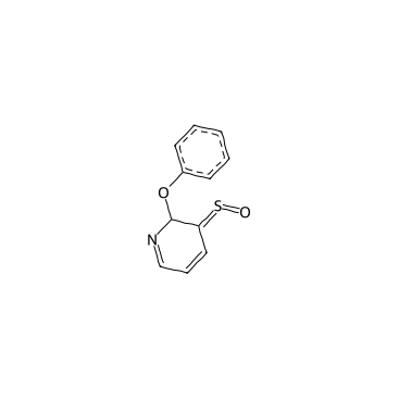 O=S=C1C=CC=NC1Oc1ccccc1